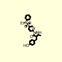 CCN(c1ccccc1)S(=O)(=O)c1ccc(-n2[nH]c(C)c(Cc3ccc(O)cc3)c2=O)nc1